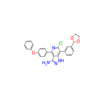 Nc1n[nH]c2c(-c3cccc(C4OCCO4)c3)c(Cl)nc(-c3ccc(Oc4ccccc4)cc3)c12